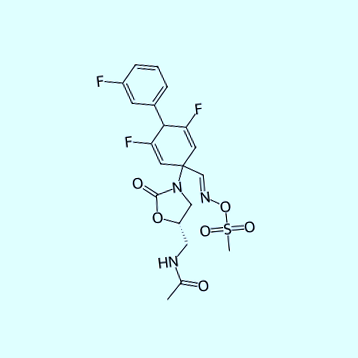 CC(=O)NC[C@H]1CN(C2(/C=N/OS(C)(=O)=O)C=C(F)C(c3cccc(F)c3)C(F)=C2)C(=O)O1